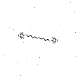 c1nc(CCCCCCCCCCCCc2ncon2)no1